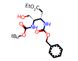 CCOC(=O)C[C@H](NC(=O)OCc1ccccc1)[C@@H](CO)NC(=O)OC(C)(C)C